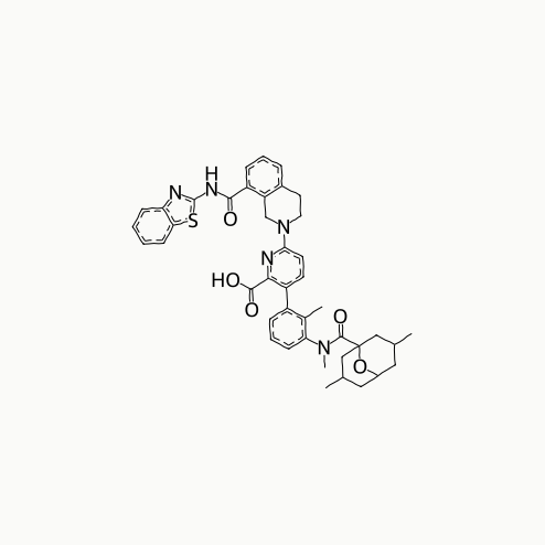 Cc1c(-c2ccc(N3CCc4cccc(C(=O)Nc5nc6ccccc6s5)c4C3)nc2C(=O)O)cccc1N(C)C(=O)C12CC(C)CC(CC(C)C1)O2